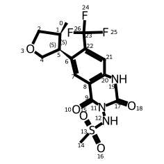 C[C@@H]1COC[C@@H]1c1cc2c(=O)n(NS(C)(=O)=O)c(=O)[nH]c2cc1C(F)(F)F